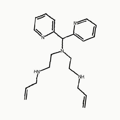 C=CCNCCN(CCNCC=C)C(c1ccccn1)c1ccccn1